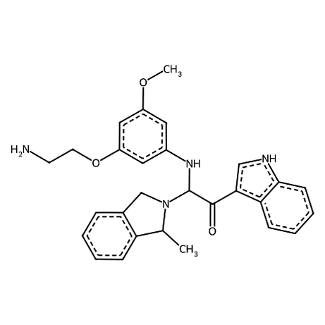 COc1cc(NC(C(=O)c2c[nH]c3ccccc23)N2Cc3ccccc3C2C)cc(OCCN)c1